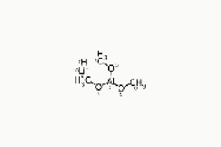 C[O][Al]([O]C)[O]C.[H-].[Li+]